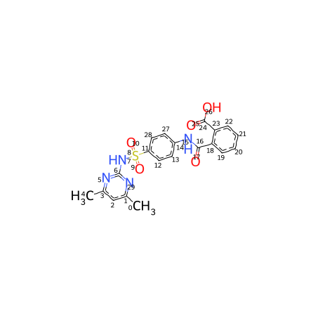 Cc1cc(C)nc(NS(=O)(=O)c2ccc(NC(=O)c3ccccc3C(=O)O)cc2)n1